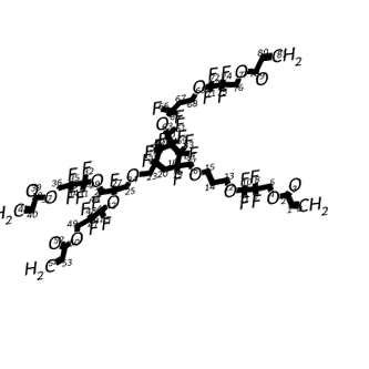 C=CC(=O)OCC(F)(F)C(F)(F)OCCCOCC1(F)CC(F)(COCC(F)(COC(F)(F)C(F)(F)COC(=O)C=C)OC(F)(F)C(F)(F)COC(=O)C=C)C(F)(F)C(F)(C(F)(F)OC(F)(F)CCOC(F)(F)C(F)(F)COC(=O)C=C)C1(F)F